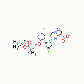 CN(CCOc1ncc(F)cc1[C@H]1C[C@H](F)CN1c1ccn2ncc([N+](=O)[O-])c2n1)C(=O)OC(C)(C)C